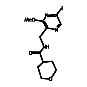 COc1nc(I)cnc1CNC(=O)C1CCOCC1